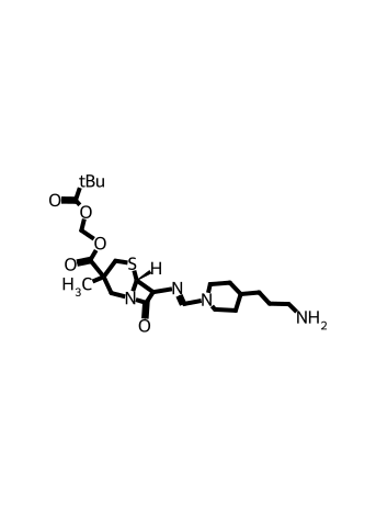 CC(C)(C)C(=O)OCOC(=O)C1(C)CS[C@@H]2C(N=CN3CCC(CCCN)CC3)C(=O)N2C1